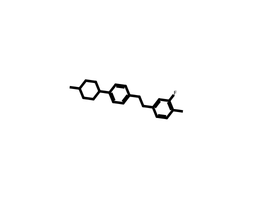 Cc1ccc(CCc2ccc(C3CCC(C)CC3)cc2)cc1F